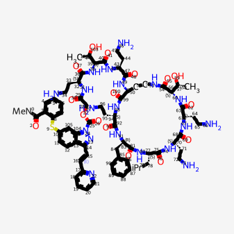 CNC(=O)c1ccccc1Sc1ccc2c(/C=C/c3ccccn3)nn(C(=O)OCC(=O)N[C@@H](CCN)C(=O)N[C@H](C(=O)N[C@@H](CCN)C(=O)N[C@H]3CCNC(=O)[C@H]([C@@H](C)O)NC(=O)[C@H](CCN)NC(=O)[C@H](CCN)NC(=O)[C@H](CC(C)C)NC(=O)[C@@H](Cc4ccccc4)NC(=O)[C@H](CCN)NC3=O)[C@@H](C)O)c2c1